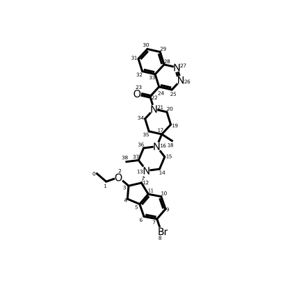 CCOC1Cc2cc(Br)ccc2[C@H]1N1CCN(C2(C)CCN(C(=O)c3cnnc4ccccc34)CC2)CC1C